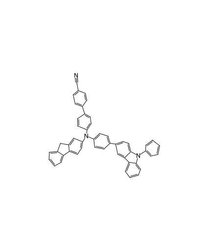 N#Cc1ccc(-c2ccc(N(c3ccc(-c4ccc5c(c4)c4ccccc4n5-c4ccccc4)cc3)c3ccc4c(c3)Cc3ccccc3-4)cc2)cc1